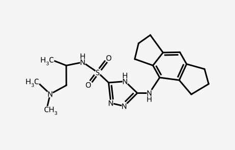 CC(CN(C)C)NS(=O)(=O)c1nnc(Nc2c3c(cc4c2CCC4)CCC3)[nH]1